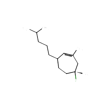 CC1=CC(CCCC(C)C)CC[C@@](C)(F)C1